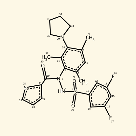 Cc1cc(C)c(N(NS(=O)(=O)c2cc(F)cc(F)c2)C(=O)c2cccs2)c(C)c1N1CCCC1